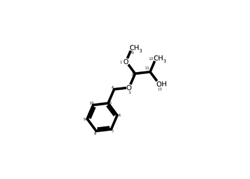 COC(OCc1ccccc1)C(C)O